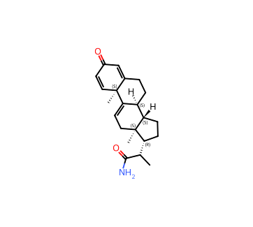 CC(C(N)=O)[C@H]1CC[C@H]2[C@@H]3CCC4=CC(=O)C=C[C@]4(C)C3=CC[C@]12C